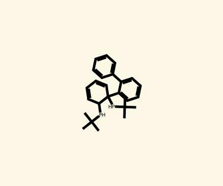 CC(C)(C)PC1C=CC=CC1(PC(C)(C)C)c1ccccc1-c1ccccc1